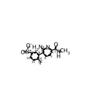 CNC(=O)c1ccc(-c2cc([N+](=O)[O-])ccc2F)c(N)n1